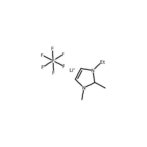 CCN1C=CN(C)C1C.F[P-](F)(F)(F)(F)F.[Li+]